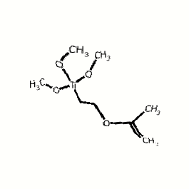 C=C(C)OC[CH2][Ti]([O]C)([O]C)[O]C